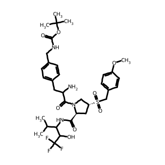 COc1ccc(CS(=O)(=O)[C@@H]2C[C@@H](C(=O)NC(C(C)C)C(O)C(F)(F)F)N(C(=O)C(N)Cc3ccc(CNC(=O)OC(C)(C)C)cc3)C2)cc1